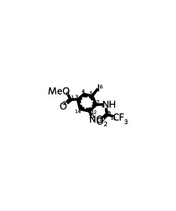 COC(=O)c1cc(I)c(NC(=O)C(F)(F)F)c([N+](=O)[O-])c1